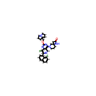 O=C1CC2(CCCN(c3nc(OCC45CCCN4CCC5)nc4c(F)c(-c5cccc6cccc(F)c56)ncc34)C2)N1